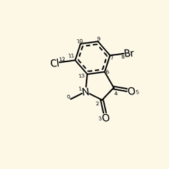 CN1C(=O)C(=O)c2c(Br)ccc(Cl)c21